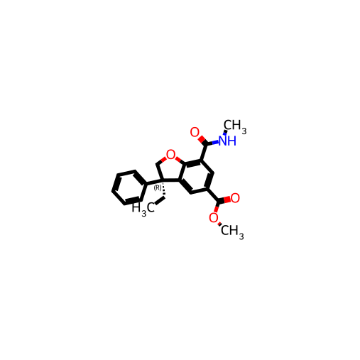 CC[C@]1(c2ccccc2)COc2c(C(=O)NC)cc(C(=O)OC)cc21